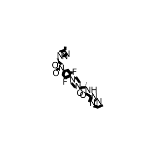 Cc1cn(C[C@H]2CN(c3cc(F)c(N4CCN(C(=O)[C@H](C)NC(=O)c5cn6cccnc6n5)CC4)c(F)c3)C(=O)O2)nn1